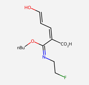 CCCCOC(=N/CCF)/C(=C\C=C\O)C(=O)O